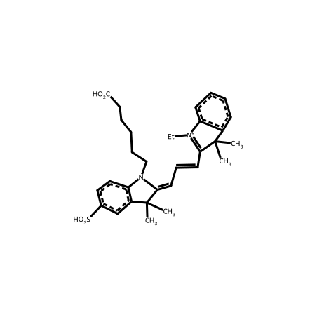 CC[N+]1=C(/C=C/C=C2\N(CCCCCC(=O)O)c3ccc(S(=O)(=O)O)cc3C2(C)C)C(C)(C)c2ccccc21